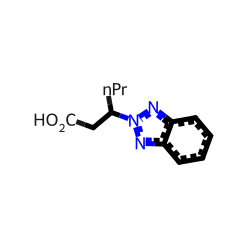 CCCC(CC(=O)O)n1nc2ccccc2n1